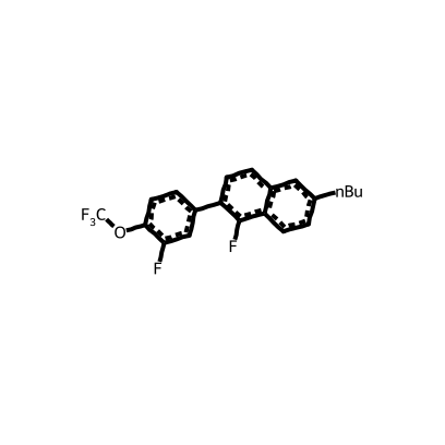 CCCCc1ccc2c(F)c(-c3ccc(OC(F)(F)F)c(F)c3)ccc2c1